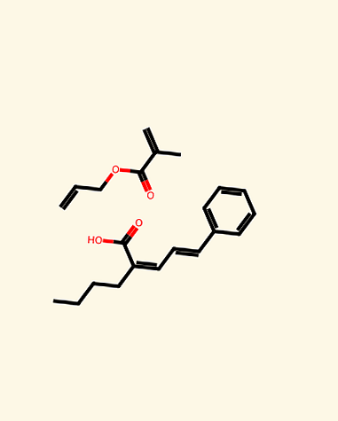 C=CCOC(=O)C(=C)C.CCCCC(=CC=Cc1ccccc1)C(=O)O